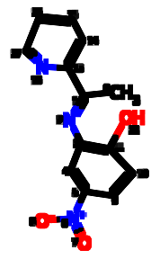 C/C(=N\c1cc([N+](=O)[O-])ccc1O)c1ccccn1